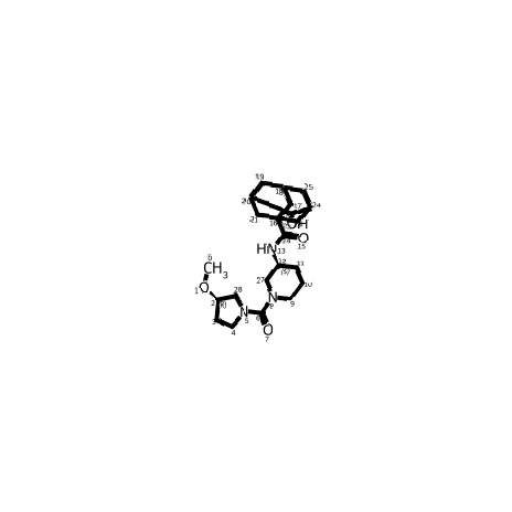 CO[C@@H]1CCN(C(=O)N2CCC[C@H](NC(=O)C34CC5CC(C3)C(O)C(C5)C4)C2)C1